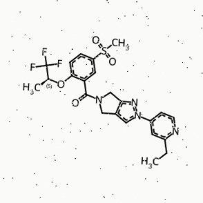 CCc1cc(-n2cc3c(n2)CN(C(=O)c2cc(S(C)(=O)=O)ccc2O[C@@H](C)C(F)(F)F)C3)ccn1